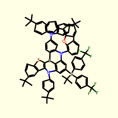 CC(C)(C)c1ccc(N(c2ccc(C(C)(C)C)cc2)c2ccc3c(c2)N(c2cccc4c2oc2c(-c5ccccc5)cccc24)c2cc([Si](c4ccc(C(F)(F)F)cc4)(c4ccc(C(F)(F)F)cc4)C(C)(C)C)cc4c2B3c2sc3ccc(C(C)(C)C)cc3c2N4c2ccc(C(C)(C)C)cc2)cc1